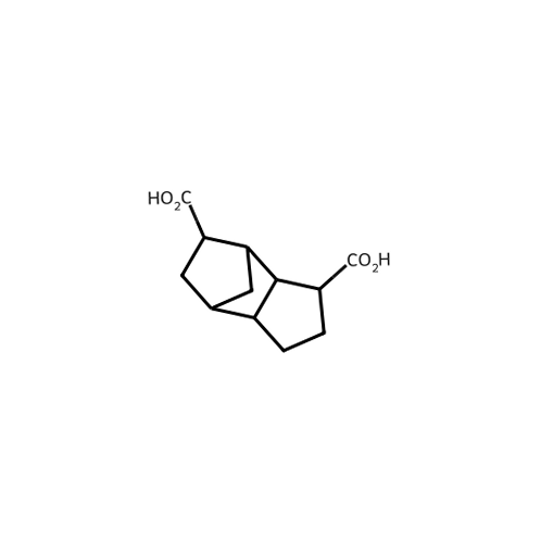 O=C(O)C1CC2CC1C1C(C(=O)O)CCC21